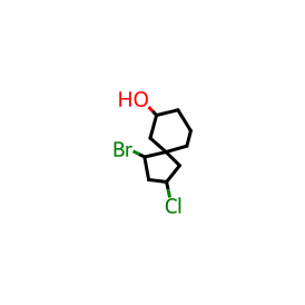 OC1CCCC2(C1)CC(Cl)CC2Br